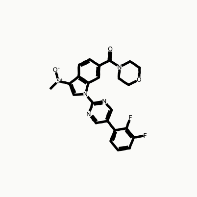 C[S+]([O-])c1cn(-c2ncc(-c3cccc(F)c3F)cn2)c2cc(C(=O)N3CCOCC3)ccc12